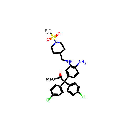 COC(=O)C(c1ccc(Cl)cc1)(c1ccc(Cl)cc1)c1ccc(N)c(NCC2CCN(S(=O)(=O)C(F)(F)F)CC2)c1